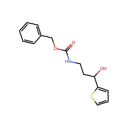 O=C(NCCC(O)c1cccs1)OCc1ccccc1